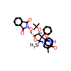 Cc1cn([C@]2([SiH3])O[C@H](CON3C(=O)c4ccccc4C3=O)[C@@H](OC(C)(C)C)C2(c2ccccc2)c2ccccc2)c(=O)[nH]c1=O